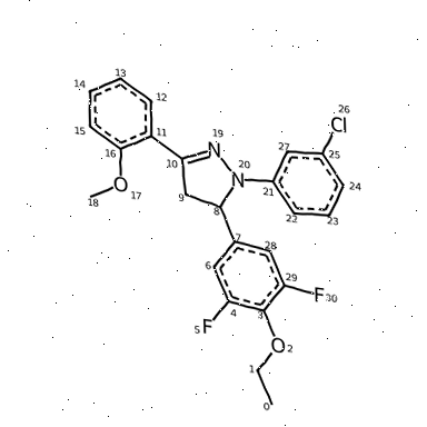 CCOc1c(F)cc(C2CC(c3ccccc3OC)=NN2c2cccc(Cl)c2)cc1F